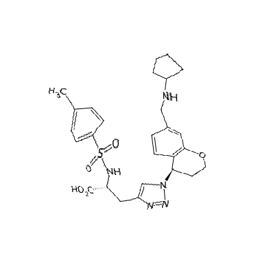 Cc1ccc(S(=O)(=O)N[C@H](Cc2cn([C@@H]3CCOc4cc(CNC5CCCC5)ccc43)nn2)C(=O)O)cc1